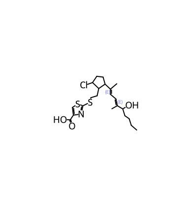 CCCCC(O)/C(C)=C/C=C(\C)C1CCC(Cl)C1CCSc1nc(C(=O)O)cs1